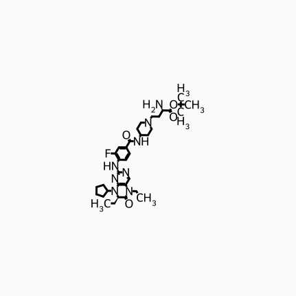 CC[C@@H]1C(=O)N(CC)c2cnc(Nc3ccc(C(=O)NC4CCN(CC[C@H](N)C(=O)OC(C)(C)C)CC4)cc3F)nc2N1C1CCCC1